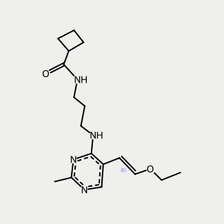 CCO/C=C/c1cnc(C)nc1NCCCNC(=O)C1CCC1